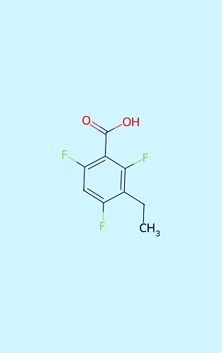 CCc1c(F)cc(F)c(C(=O)O)c1F